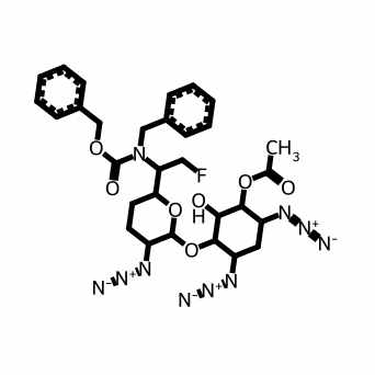 CC(=O)OC1C(N=[N+]=[N-])CC(N=[N+]=[N-])C(OC2OC(C(CF)N(Cc3ccccc3)C(=O)OCc3ccccc3)CCC2N=[N+]=[N-])C1O